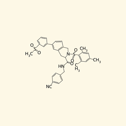 Cc1cc(C)c(S(=O)(=O)N2Cc3ccc(-c4cccc(S(C)(=O)=O)c4)cc3CC2C(=O)NCc2ccc(C#N)cc2)c(C)c1